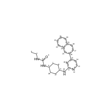 CCNC(=O)NC1CCC(Nc2nccc(-c3ccc4ccccc4c3)n2)CC1